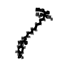 COC(=O)C(C)(C)CCCCCCCCCNC(=O)Nc1ccc(C(F)(F)F)cc1